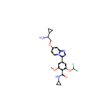 COc1cc(-c2cnc3cc(OCC(N)C4CC4)ccn23)cc(OC(F)F)c1C(=O)NC1CC1